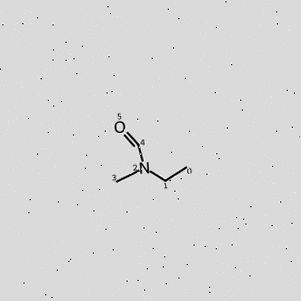 C[CH]N(C)C=O